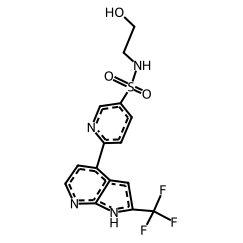 O=S(=O)(NCCO)c1ccc(-c2ccnc3[nH]c(C(F)(F)F)cc23)nc1